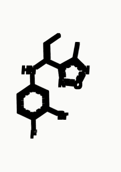 C/C=C(/Nc1ccc(F)c(Br)c1)c1nonc1C